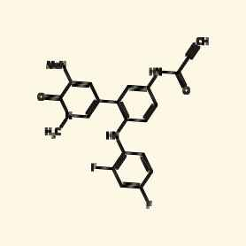 C#CC(=O)Nc1ccc(Nc2ccc(F)cc2F)c(-c2cc(NC)c(=O)n(C)c2)c1